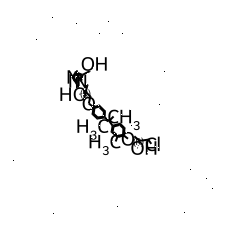 Cc1cc(C(C)(C)c2ccc(OC[C@H](O)Cn3nncc3CO)cc2)ccc1OC[C@@H](O)CCl